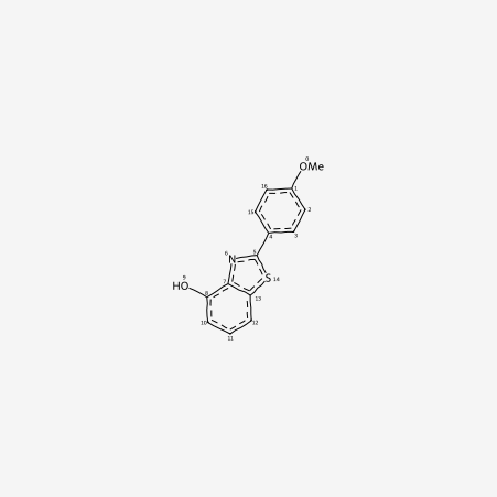 COc1ccc(-c2nc3c(O)cccc3s2)cc1